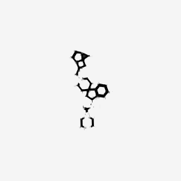 O=C(N[C@H]1CC2(CCN(CC3CC45CC4C=CC35)CC2)c2ccccc21)N1CCOCC1